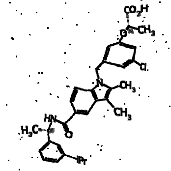 Cc1c(C)n(Cc2cc(Cl)cc(O[C@@H](C)C(=O)O)c2)c2ccc(C(=O)N[C@@H](C)c3cccc(C(C)C)c3)cc12